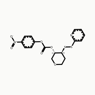 O=C(Oc1ccc([N+](=O)[O-])cc1)O[C@H]1COCC[C@@H]1SSc1ccccn1